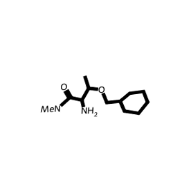 CNC(=O)C(N)C(C)OCC1CCCCC1